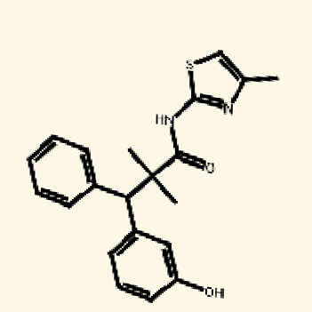 Cc1csc(NC(=O)C(C)(C)C(c2ccccc2)c2cccc(O)c2)n1